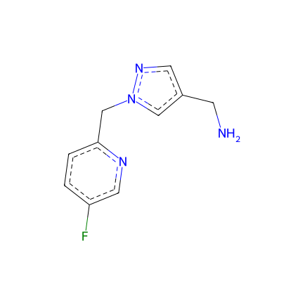 NCc1cnn(Cc2ccc(F)cn2)c1